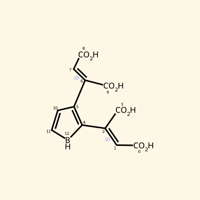 O=C(O)/C=C(\C(=O)O)C1=C(/C(=C/C(=O)O)C(=O)O)C=CB1